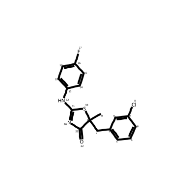 CC1(Cc2cccc(Cl)c2)SC(Nc2ccc(F)cc2)=NC1=O